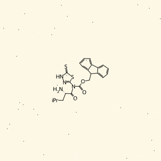 CC(C)C[C@H](N)C(=O)N(C(=O)OCC1c2ccccc2-c2ccccc21)c1n[nH]c(=S)s1